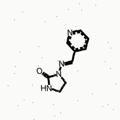 O=C1NCCN1/N=C/c1cccnc1